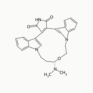 CN(C)[C@@H]1CCn2cc(c3ccccc32)C2=C(C(=O)NC2=O)c2cn(c3ccccc23)CCO1